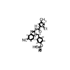 CCn1nc(C)cc1C(=O)Nc1nc2cc(C#N)ccc2n1Cc1ccc(O[PH](=O)O)cc1